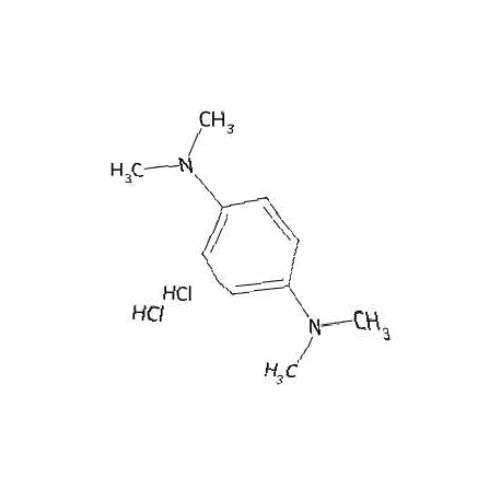 CN(C)c1ccc(N(C)C)cc1.Cl.Cl